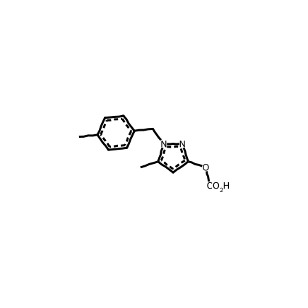 Cc1ccc(Cn2nc(OC(=O)O)cc2C)cc1